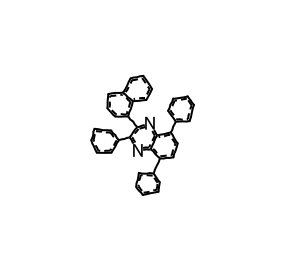 c1ccc(-c2nc3c(-c4ccccc4)ccc(-c4ccccc4)c3nc2-c2cccc3ccccc23)cc1